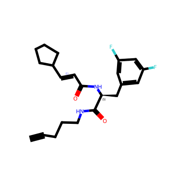 C#CCCCNC(=O)[C@H](Cc1cc(F)cc(F)c1)NC(=O)/C=C/C1CCCC1